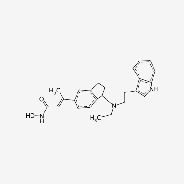 CCN(CCc1c[nH]c2ccccc12)C1CCc2cc(C(C)=CC(=O)NO)ccc21